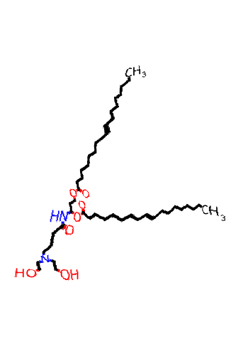 CCCCCCCCC=CCCCCCCCC(=O)OCCC(NC(=O)CCCN(CCO)CCO)OC(=O)CCCCCCCC=CCCCCCCCC